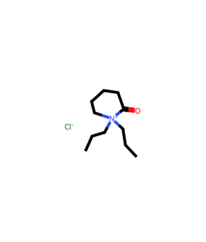 CCC[N+]1(CCC)CCCCC1=O.[Cl-]